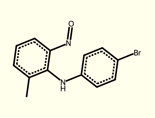 Cc1cccc(N=O)c1Nc1ccc(Br)cc1